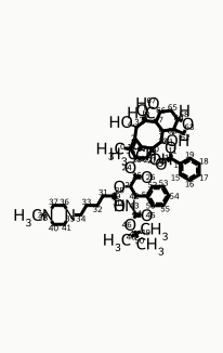 CC1=C2[C@@H](O)C(=O)[C@@]3(C)C([C@H](OC(=O)c4ccccc4)[C@](O)(C[C@@H]1OC(=O)[C@H](OC(=O)CCCCN1CCN(C)CC1)[C@@H](NC(=O)OC(C)(C)C)c1ccccc1)C2(C)C)[C@]1(O)CO[C@@H]1C[C@@H]3O